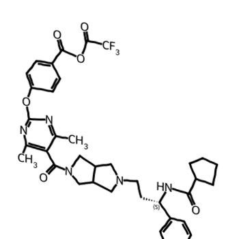 Cc1nc(Oc2ccc(C(=O)OC(=O)C(F)(F)F)cc2)nc(C)c1C(=O)N1CC2CN(CC[C@H](NC(=O)C3CCCC3)c3ccccc3)CC2C1